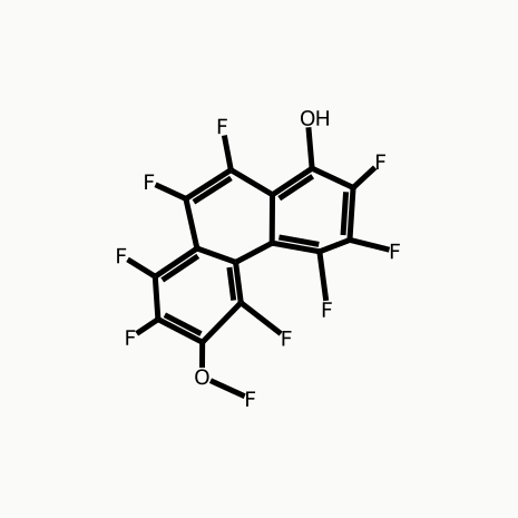 Oc1c(F)c(F)c(F)c2c1c(F)c(F)c1c(F)c(F)c(OF)c(F)c12